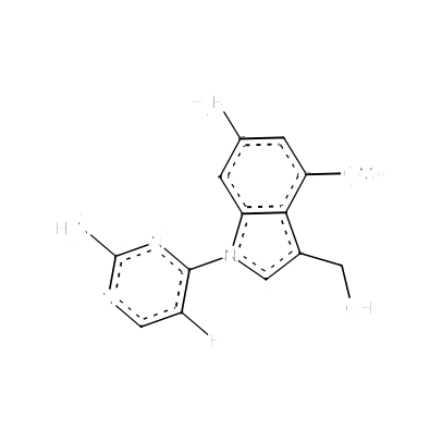 Bc1cc(OC)c2c(CO)cn(-c3nc(N)ncc3F)c2c1